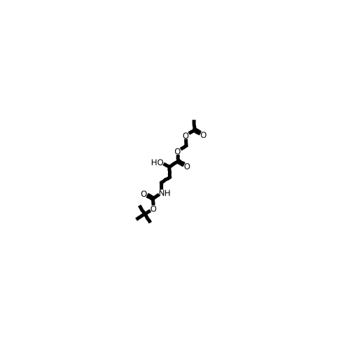 CC(=O)OCOC(=O)C(O)CCNC(=O)OC(C)(C)C